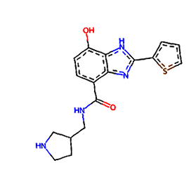 O=C(NCC1CCNC1)c1ccc(O)c2[nH]c(-c3cccs3)nc12